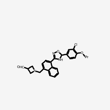 CC(C)Oc1ccc(C2NC(c3ccc(CN4CC(C=O)C4)c4ccccc34)=NO2)cc1Cl